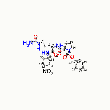 NC(=O)NCCC[C@H](NC(=O)[C@@H]1CCCN1C(=O)OCc1ccccc1)C(=O)Nc1ccc([N+](=O)[O-])cc1